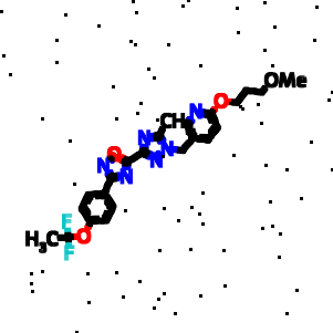 COCCCOc1ccc(Cn2nc(-c3nc(-c4ccc(OC(C)(F)F)cc4)no3)nc2C)cn1